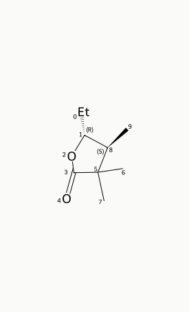 CC[C@H]1OC(=O)C(C)(C)[C@@H]1C